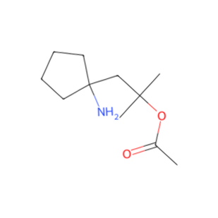 CC(=O)OC(C)(C)CC1(N)CCCC1